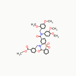 CCOC(=O)c1cccc(CN2C(=O)c3ccccc3S(=O)(=O)c3ccc(C(=O)N(Cc4ccc(OC)cc4OC)c4ccc(OC)c(OC)c4)cc32)c1